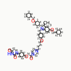 Cc1c(-c2ccc(OCc3ccccc3)cc2)n(Cc2ccc(OCCCCN3CCN(C(=O)COc4ccc(N5CCC(=O)NC5=O)cc4)CC3)cc2)c2ccc(OCc3ccccc3)cc12